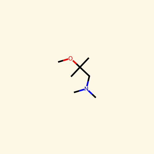 COC(C)(C)CN(C)C